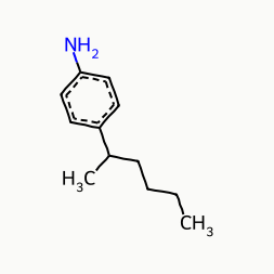 CCCCC(C)c1ccc(N)cc1